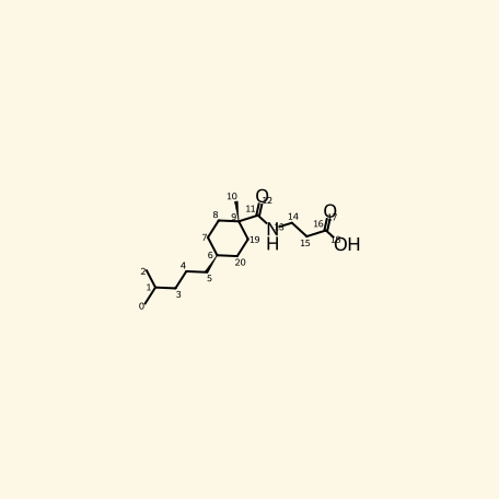 CC(C)CCC[C@H]1CC[C@](C)(C(=O)NCCC(=O)O)CC1